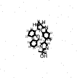 CC(C)(O)c1ncc(-c2cc3c(cc2F)nc2n3[C@H](c3ccccc3OCc3ccccc3)[C@H]3C[C@@H]23)cn1